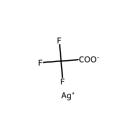 O=C([O-])C(F)(F)F.[Ag+]